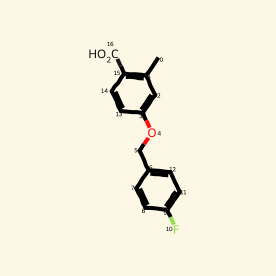 Cc1cc(OCc2ccc(F)cc2)ccc1C(=O)O